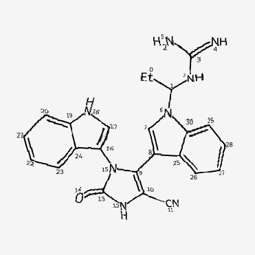 CCC(NC(=N)N)n1cc(-c2c(C#N)[nH]c(=O)n2-c2c[nH]c3ccccc23)c2ccccc21